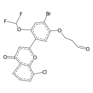 O=CCCOc1cc(-c2cc(=O)c3cccc(Cl)c3o2)c(OC(F)F)cc1Br